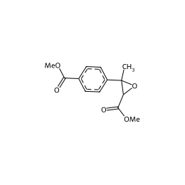 COC(=O)c1ccc(C2(C)OC2C(=O)OC)cc1